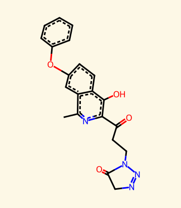 Cc1nc(C(=O)CCN2N=NCC2=O)c(O)c2ccc(Oc3ccccc3)cc12